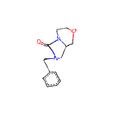 O=C1N(Cc2ccccc2)CC2COCCN12